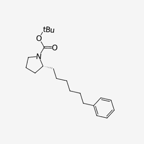 CC(C)(C)OC(=O)N1CCC[C@H]1CCCCCCc1ccccc1